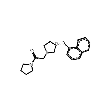 O=C(CN1CC[C@H](Oc2cccc3ccccc23)C1)N1CCCC1